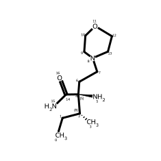 CC[C@@H](C)[C@@](N)(CCN1CCOCC1)C(N)=O